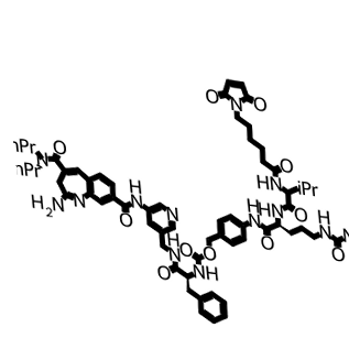 CCCN(CCC)C(=O)C1=Cc2ccc(C(=O)Nc3cncc(CNC(=O)[C@H](Cc4ccccc4)NC(=O)OCc4ccc(NC(=O)[C@H](CCCNC(N)=O)NC(=O)C(NC(=O)CCCCCN5C(=O)C=CC5=O)C(C)C)cc4)c3)cc2N=C(N)C1